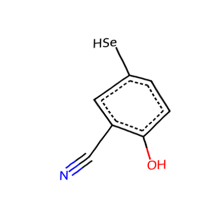 N#Cc1cc([SeH])ccc1O